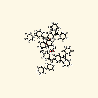 c1ccc(-c2cccc(N(c3ccc4c(c3)C3(c5ccccc5Oc5ccccc53)c3cc(N(c5cccc(-c6ccccc6)c5)c5ccc6c(c5)c5ccccc5n6-c5ccccc5)ccc3O4)c3ccc4c(c3)c3ccccc3n4-c3ccccc3)c2)cc1